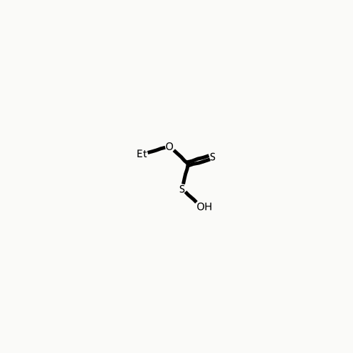 CCOC(=S)SO